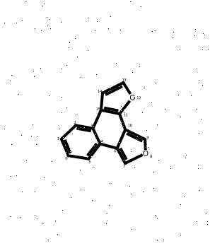 c1ccc2c(c1)c1cocc1c1occc21